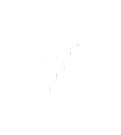 CCCCCCCNN.Cl.Cl